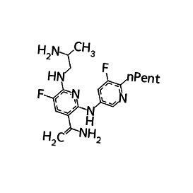 C=C(N)c1cc(F)c(NCC(C)N)nc1Nc1cnc(CCCCC)c(F)c1